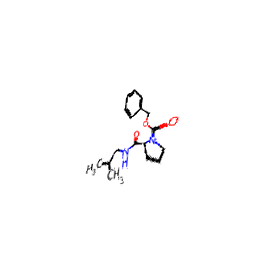 CC(C)CNC(=O)[C@@H]1CCCN1C(=O)OCc1ccccc1